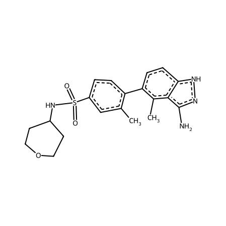 Cc1cc(S(=O)(=O)NC2CCOCC2)ccc1-c1ccc2[nH]nc(N)c2c1C